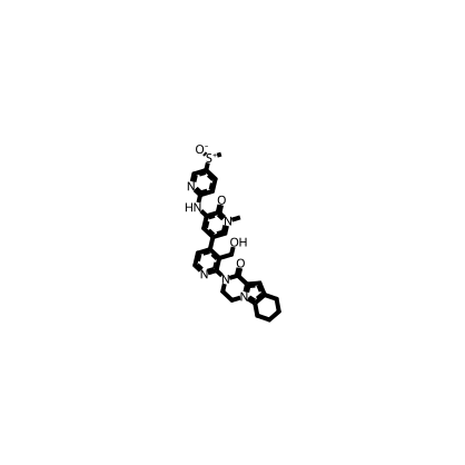 Cn1cc(-c2ccnc(N3CCn4c(cc5c4CCCC5)C3=O)c2CO)cc(Nc2ccc([S+](C)[O-])cn2)c1=O